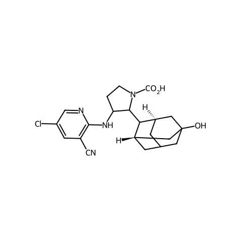 N#Cc1cc(Cl)cnc1NC1CCN(C(=O)O)C1C1[C@@H]2CC3C[C@H]1CC(O)(C3)C2